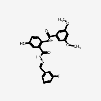 COc1cc(OC)cc(C(=O)Nc2ccc(O)cc2C(=O)NN=Cc2cccc(F)c2)c1